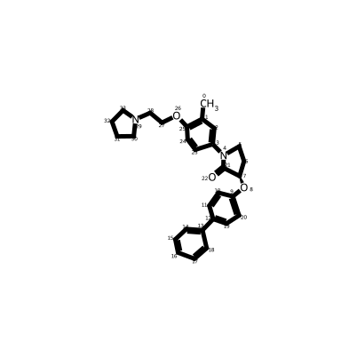 Cc1cc(N2CC[C@@H](Oc3ccc(-c4ccccc4)cc3)C2=O)ccc1OCCN1CCCC1